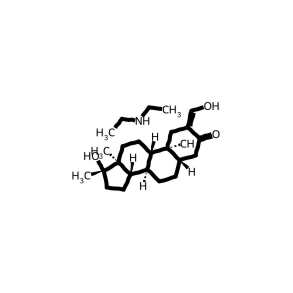 CCNCC.C[C@]12C/C(=C/O)C(=O)C[C@@H]1CC[C@@H]1[C@@H]2CC[C@@]2(C)[C@H]1CC[C@]2(C)O